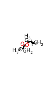 C=C[CH]C(C)OC(=O)C(=C)C